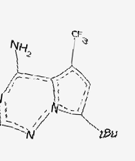 CC(C)(C)c1cc(C(F)(F)F)c2c(N)ncnn12